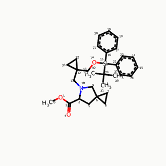 COC(=O)C1CC2(CC2)CN1CC1(CO[Si](c2ccccc2)(c2ccccc2)C(C)(C)C)CC1